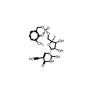 C#CC1=CN([C@@H]2O[C@](F)(COP3(=O)OCc4cccc(C)c4O3)[C@@H](O)[C@H]2O)C(S)NC1=O